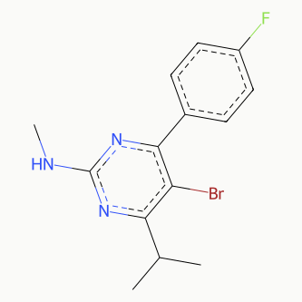 CNc1nc(-c2ccc(F)cc2)c(Br)c(C(C)C)n1